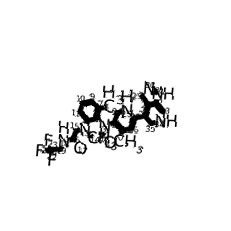 CC1=C(N(C=O)c2c(C)cccc2N(C)CC(=O)NCC(F)(F)F)CNC(C2=c3cn[nH]c3=CNC2)=C1